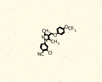 Cc1nn(-c2ccc(C#N)c(Cl)c2)c(C)c1COc1ccc(OC(F)(F)F)cc1